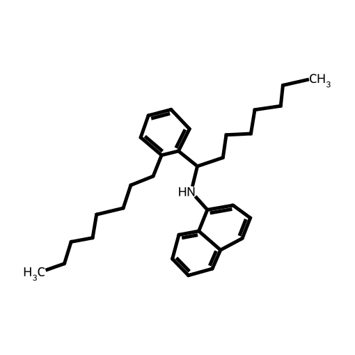 CCCCCCCCc1ccccc1C(CCCCCCC)Nc1cccc2ccccc12